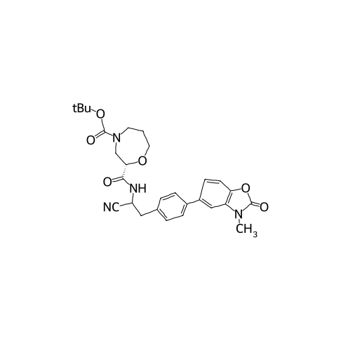 Cn1c(=O)oc2ccc(-c3ccc(CC(C#N)NC(=O)[C@@H]4CN(C(=O)OC(C)(C)C)CCCO4)cc3)cc21